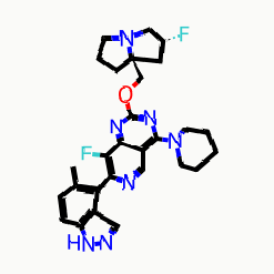 Cc1ccc2[nH]ncc2c1-c1ncc2c(N3CCCCC3)nc(OC[C@@]34CCCN3C[C@H](F)C4)nc2c1F